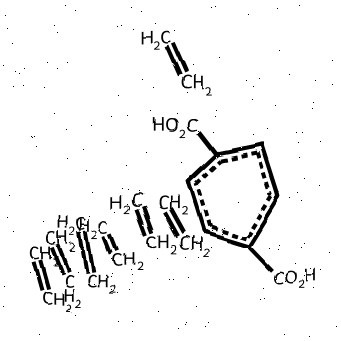 C=C.C=C.C=C.C=C.C=C.C=C.C=C.O=C(O)c1ccc(C(=O)O)cc1